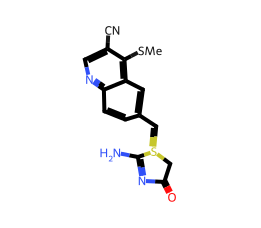 CSc1c(C#N)cnc2ccc(/C=S3/CC(=O)N=C3N)cc12